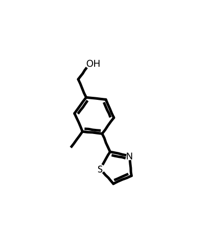 Cc1cc(CO)ccc1-c1nccs1